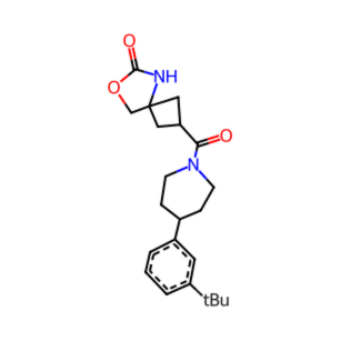 CC(C)(C)c1cccc(C2CCN(C(=O)C3CC4(COC(=O)N4)C3)CC2)c1